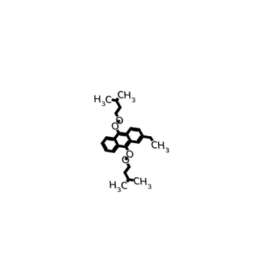 CCc1ccc2c(OOCCC(C)C)c3ccccc3c(OOCCC(C)C)c2c1